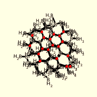 BB(B)B(B(B)B)B(B(B(B)B)B(B)B)B(B(B(B)B)B(B)B)B(B(B(B(B)B)B(B)B)B(B(B)B)B(B)B)B(B(B(B(B(B)B)B(B)B)B(B(B)B)B(B)B)B(B(B(B)B)B(B)B)B(B(B)B)B(B)B)B(B(B(B(B(B)B)B(B)B)B(B(B)B)B(B)B)B(B(B(B)B)B(B)B)B(B(B)B)B(B)B)B(B(B(B(B)B)B(B)B)B(B(B)B)B(B)B)B(B(B(B)B)B(B)B)B(B(B)B)B(B)B